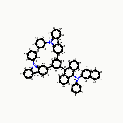 c1ccc(N(c2ccc3ccccc3c2)c2c3ccccc3c(-c3cc(-c4ccc5c6ccccc6n(-c6ccccc6)c5c4)cc(-c4ccc5c6ccccc6n(-c6ccccc6)c5c4)c3)c3ccccc23)cc1